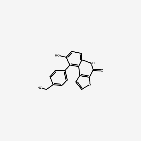 N#CCc1ccc(-c2c(O)ccc3[nH]c(=O)c4sccc4c23)cc1